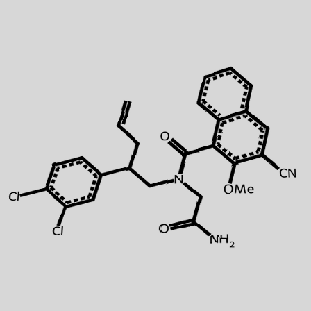 C=CCC(CN(CC(N)=O)C(=O)c1c(OC)c(C#N)cc2ccccc12)c1ccc(Cl)c(Cl)c1